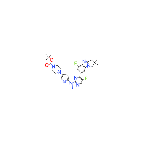 CC1(C)Cc2nc3c(F)cc(-c4nc(Nc5ccc(N6CCN(C(=O)OC(C)(C)C)CC6)cn5)ncc4F)cc3n2C1